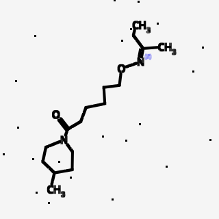 CC/C(C)=N\OCCCCCC(=O)N1CCC(C)CC1